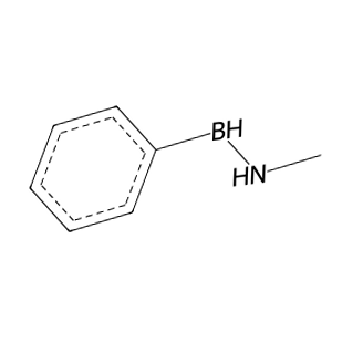 CNBc1ccccc1